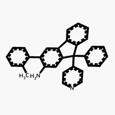 Cc1ccccc1-c1cc2c(cc1N)C(c1ccccc1)(c1ccncc1)c1ccccc1-2